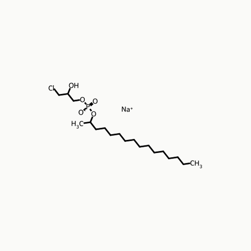 CCCCCCCCCCCCCCC(C)OP(=O)([O-])OCC(O)CCl.[Na+]